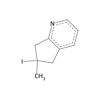 CC1(I)Cc2cccnc2C1